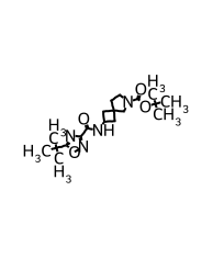 CC(C)(C)OC(=O)N1CCC2(CC(NC(=O)c3noc(C(C)(C)C)n3)C2)C1